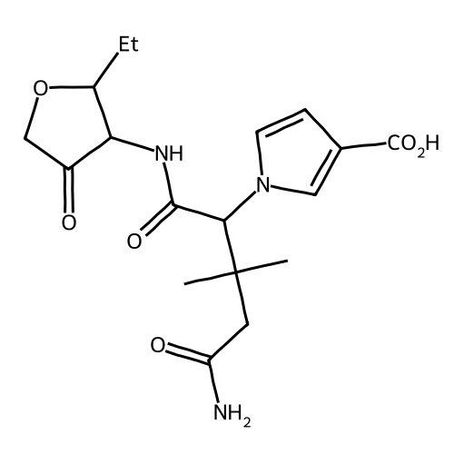 CCC1OCC(=O)C1NC(=O)C(n1ccc(C(=O)O)c1)C(C)(C)CC(N)=O